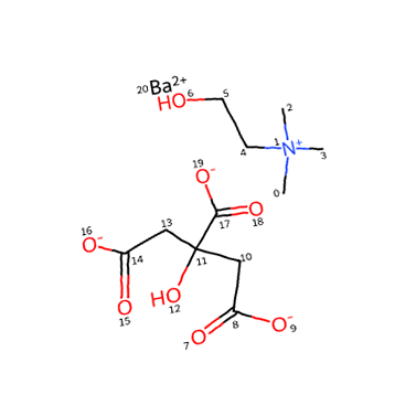 C[N+](C)(C)CCO.O=C([O-])CC(O)(CC(=O)[O-])C(=O)[O-].[Ba+2]